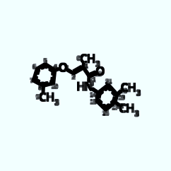 C/C(=C\Oc1cccc(C)c1)C(=O)Nc1ccc(C)c(C)c1